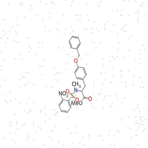 COC(=O)C(Cc1ccc(OCc2ccccc2)cc1)N(C)S(=O)(=O)c1ccccc1[N+](=O)[O-]